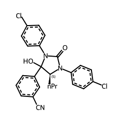 CCC[C@@H]1N(c2ccc(Cl)cc2)C(=O)N(c2ccc(Cl)cc2)C1(O)c1cccc(C#N)c1